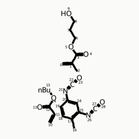 C=C(C)C(=O)OCCCO.C=CC(=O)OCCCC.Cc1ccc(N=C=O)cc1N=C=O